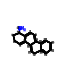 NC1CCC=c2c1ccc1c2=CCc2ccccc2-1